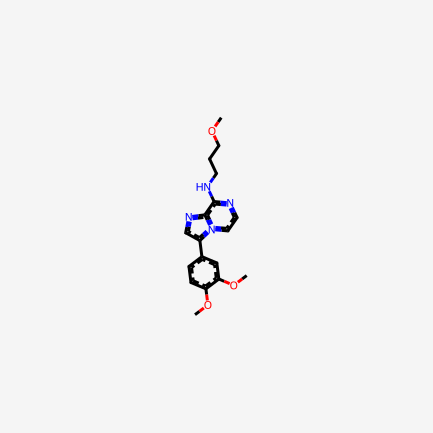 COCCCNc1nccn2c(-c3ccc(OC)c(OC)c3)cnc12